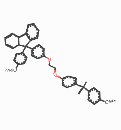 COc1ccc(C(C)(C)c2ccc(OCCOc3ccc(C4(c5ccc(OC)cc5)c5ccccc5C5C=CC=CC54)cc3)cc2)cc1